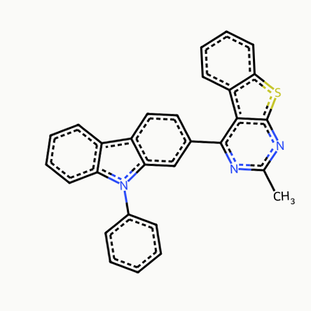 Cc1nc(-c2ccc3c4ccccc4n(-c4ccccc4)c3c2)c2c(n1)sc1ccccc12